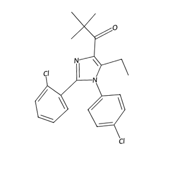 CCc1c(C(=O)C(C)(C)C)nc(-c2ccccc2Cl)n1-c1ccc(Cl)cc1